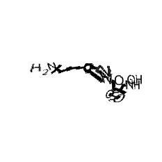 CC(C)(N)CC#CC#Cc1ccc2nn(CCC(C)(C(=O)NO)S(C)(=O)=O)cc2c1